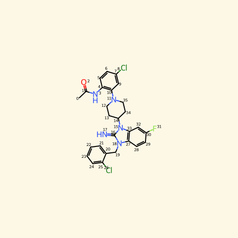 CC(=O)Nc1ccc(Cl)cc1N1CCC(n2c(=N)n(Cc3ccccc3Cl)c3ccc(F)cc32)CC1